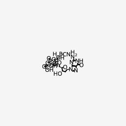 BC#N.Nc1nc2c(ncn2[C@H]2C[C@H](O)[C@@H](COP(=O)(O)OP(=O)(O)OP(=O)(O)O)O2)c(=O)[nH]1